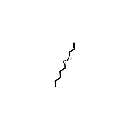 C=C[CH]OOCCCCC